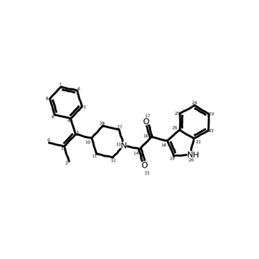 CC(C)=C(c1ccccc1)C1CCN(C(=O)C(=O)c2c[nH]c3ccccc23)CC1